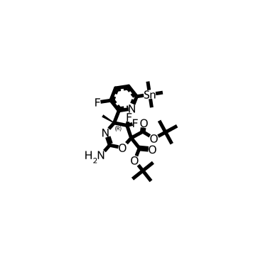 CC(C)(C)OC(=O)C1(C(=O)OC(C)(C)C)OC(N)=N[C@](C)(c2n[c]([Sn]([CH3])([CH3])[CH3])ccc2F)C1(F)F